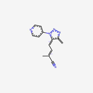 C=c1nnn(-c2ccncc2)/c1=C/C=C(\C)C#N